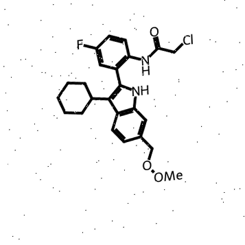 COOCc1ccc2c(C3CCCCC3)c(-c3cc(F)ccc3NC(=O)CCl)[nH]c2c1